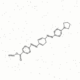 CCCCCCOC(=O)c1ccc(/N=N/C2=CCC(/N=N/c3ccc(N4CCCC4)cc3)C=C2)cc1